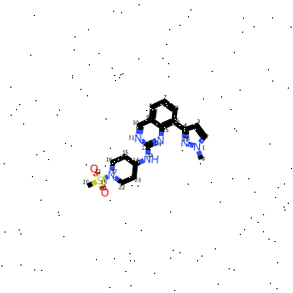 Cn1ccc(-c2cccc3cnc(NC4CCN(S(C)(=O)=O)CC4)nc23)n1